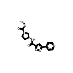 CC(C)(C)OC(=O)N1CC[C@@H](NC(=O)c2cc(-c3ccncc3)no2)C1